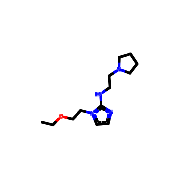 CCOCCn1ccnc1NCCN1CCCC1